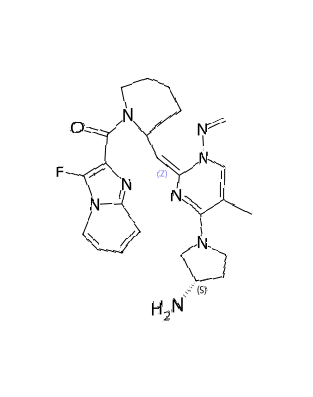 C=NN1C=C(C)C(N2CC[C@H](N)C2)=N/C1=C/C1CCCCN1C(=O)c1nc2ccccn2c1F